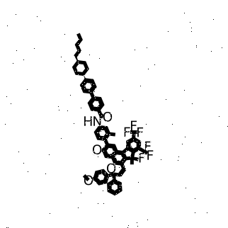 CCCCC[C@H]1CC[C@H](c2ccc(-c3ccc(C(=O)Nc4ccc(-c5cc6c7c(c8c(c6cc5OC)OC(c5ccccc5)(c5ccc(OC)cc5)C=C8)C(C)(C)c5c-7cc(C(F)(F)F)cc5C(F)(F)F)c(C)c4)cc3)cc2)CC1